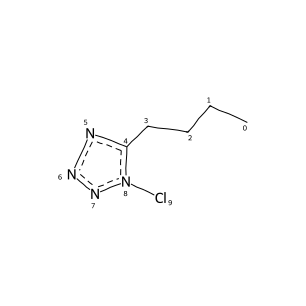 CCCCc1nnnn1Cl